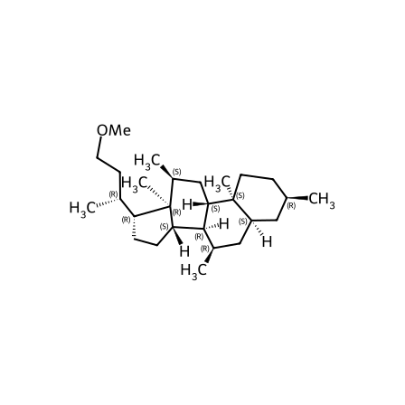 COCC[C@@H](C)[C@H]1CC[C@H]2[C@@H]3[C@H](C)C[C@@H]4C[C@H](C)CC[C@]4(C)[C@H]3C[C@H](C)[C@]12C